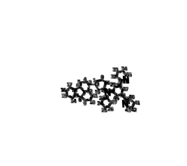 C1=CC(c2ccc3c4c(cccc24)-c2ccccc2-3)CC(N(c2ccccc2)c2cc(-c3ccccn3)cc(-c3ccccn3)c2)=C1